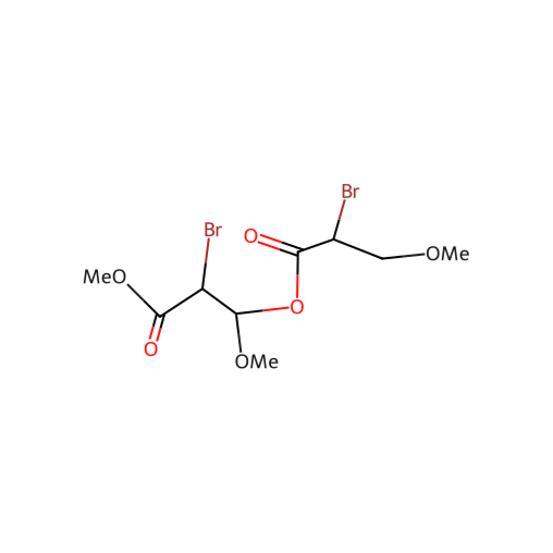 COCC(Br)C(=O)OC(OC)C(Br)C(=O)OC